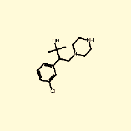 CC(C)(O)C(CN1CCNCC1)c1cccc(Cl)c1